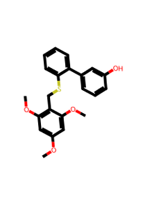 COc1cc(OC)c(CSc2ccccc2-c2cccc(O)c2)c(OC)c1